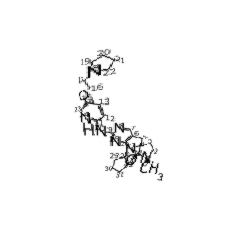 CN1CCC2(Cc3cnc(Nc4ccc(OCCN5CCCC5)cn4)nc3N2C2CCCC2)C1=O